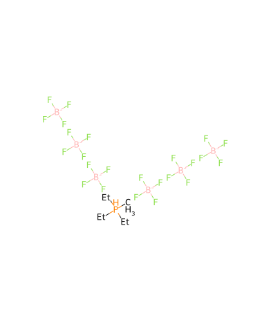 CC[PH](C)(CC)CC.F[B-](F)(F)F.F[B-](F)(F)F.F[B-](F)(F)F.F[B-](F)(F)F.F[B-](F)(F)F.F[B-](F)(F)F